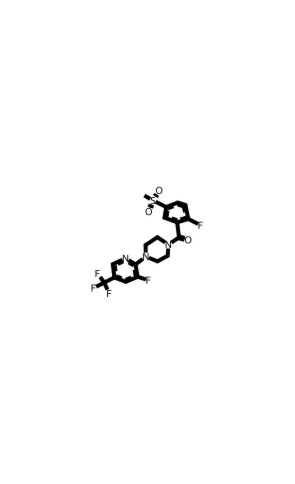 CS(=O)(=O)c1ccc(F)c(C(=O)N2CCN(c3ncc(C(F)(F)F)cc3F)CC2)c1